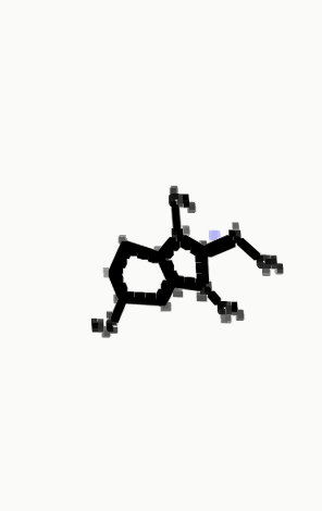 C/N=c1/n(C)c2ccc(C)cc2n1C